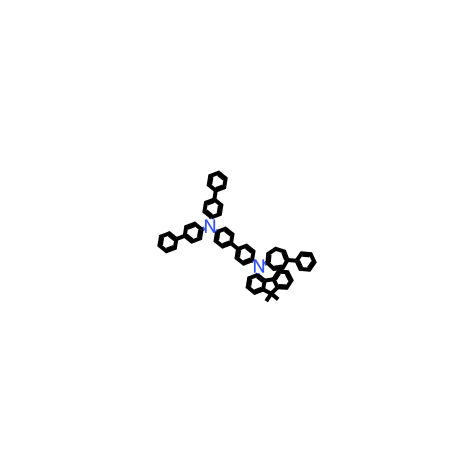 CC1(C)c2ccccc2-c2c(N(C3=CCC=C(c4ccccc4)C=C3)c3ccc(-c4ccc(N(c5ccc(-c6ccccc6)cc5)c5ccc(-c6ccccc6)cc5)cc4)cc3)cccc21